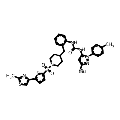 Cc1ccc(-n2nc(C(C)(C)C)cc2NC(=O)Nc2ccccc2CC2CCN(S(=O)(=O)c3ccc(-c4csc(C)n4)s3)CC2)cc1